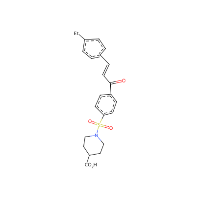 CCc1ccc(C=CC(=O)c2ccc(S(=O)(=O)N3CCC(C(=O)O)CC3)cc2)cc1